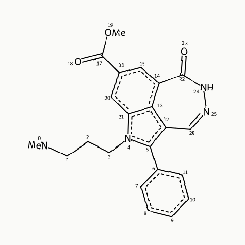 CNCCCn1c(-c2ccccc2)c2c3c(cc(C(=O)OC)cc31)C(=O)NN=C2